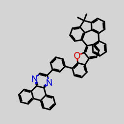 CC1(C)c2cccc(-c3ccccc3)c2-c2c(-c3cccc4c3oc3c(-c5cccc(-c6cnc7c8ccccc8c8ccccc8c7n6)c5)cccc34)cccc21